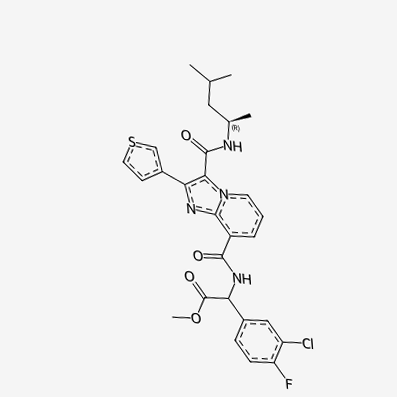 COC(=O)C(NC(=O)c1cccn2c(C(=O)N[C@H](C)CC(C)C)c(-c3ccsc3)nc12)c1ccc(F)c(Cl)c1